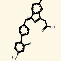 Cc1ccc(-c2ccc(/C=C3\C=C(CC(=O)O)c4cc(F)ccc43)cc2)c(F)c1